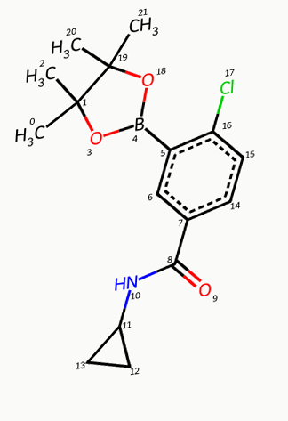 CC1(C)OB(c2cc(C(=O)NC3CC3)ccc2Cl)OC1(C)C